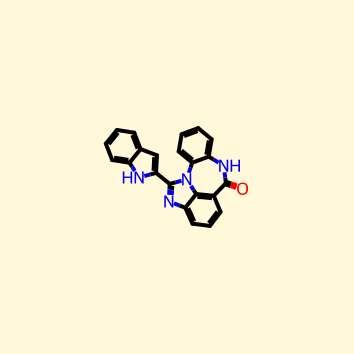 O=C1Nc2ccccc2-n2c(-c3cc4ccccc4[nH]3)nc3cccc1c32